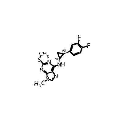 CSc1nc(N[C@@H]2C[C@H]2c2ccc(F)c(F)c2)c2ncn(C)c2n1